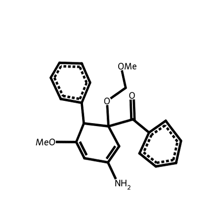 COCOC1(C(=O)c2ccccc2)C=C(N)C=C(OC)C1c1ccccc1